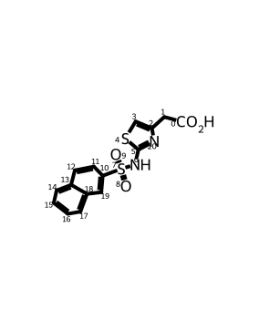 O=C(O)Cc1csc(NS(=O)(=O)c2ccc3ccccc3c2)n1